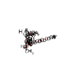 CC[C@@]1(O)C(=O)OCc2c1cc1n(c2=O)Cc2c-1nc1cc(F)c(C)c3c1c2[C@@H](NC(=O)OCc1ccc(NC(=O)[C@H](CCCCNC(c2ccccc2)(c2ccccc2)c2ccc(C)cc2)NC(=O)[C@H](Cc2ccccc2)NC(=O)CCOCCOCCOCCOCCOCCOCCOCCOCCOCCN=[N+]=[N-])c(OC)c1)CC3